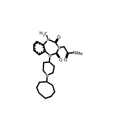 CNC(=O)CN1C(=O)N(C)c2ccccc2N(C2CCN(C3CCCCCCC3)CC2)C1=O